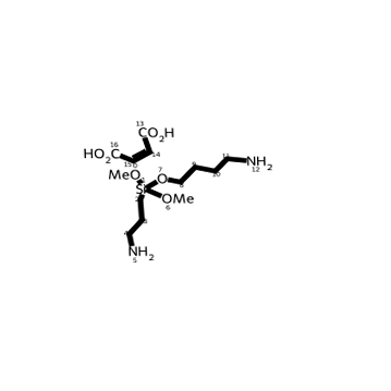 CO[Si](CCCN)(OC)OCCCCN.O=C(O)/C=C\C(=O)O